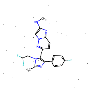 CNc1cn2nc(-c3c(-c4ccc(F)cc4)nc(C)n3CC(F)F)ccc2n1